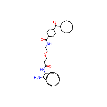 NC1c2cccccccc(c2)C1NC(=O)CCOCCNC(=O)C1CCC(C(=O)C2CCCCCCCC2)CC1